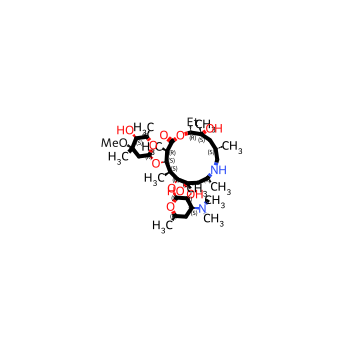 CC[C@H]1OC(=O)[C@H](C)[C@@H](O[C@H]2C[C@@](C)(OC)[C@@H](O)[C@H](C)O2)[C@H](C)[C@@H](O[C@@H]2O[C@H](C)C[C@H](N(C)C)[C@H]2O)[C@@](C)(O)C[C@@H](C)NC[C@@H](C)C[C@]1(C)O